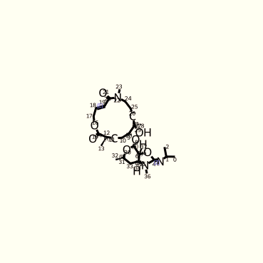 CC(C)/N=C1\O[C@H]2[C@H](O[C@@H]3CC[C@@H](C)C(=O)OC/C=C/C(=O)N(C)CCC[C@@]3(C)O)O[C@H](C)C[C@@H]2N1C